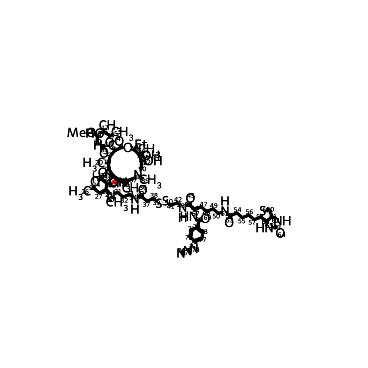 CC[C@H]1OC(=O)[C@H](C)[C@@H](O[C@@H](CCOC)O[C@@H](C)[C@@H](C)O)[C@H](C)[C@@H](O[C@@H]2O[C@H](C)C[C@H](N(C)CCCNC(=O)CCSSCCNC(=O)C(CCCCNC(=O)CCCCC3SCC4NC(=O)NC43)NC(=O)c3ccc(N=[N+]=[N-])cc3)[C@H]2O)[C@](C)(O)C[C@@H](C)CN(C)C[C@@H](O)[C@]1(C)O